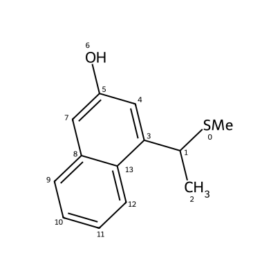 CSC(C)c1cc(O)cc2ccccc12